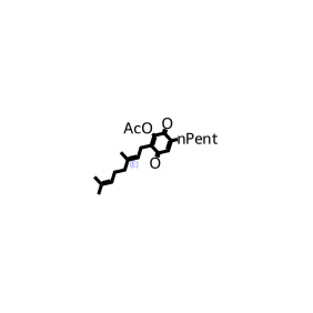 CCCCCC1=CC(=O)C(C/C=C(\C)CCC=C(C)C)=C(OC(C)=O)C1=O